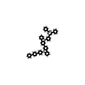 c1ccc(-c2ccc(-c3ccc(-n4c5ccccc5c5ccc(-c6ccc7c8ccccc8n(-c8cccc(-c9cc(-c%10ccccc%10)nc(-c%10ccccc%10)n9)c8)c7c6)cc54)cc3)cc2)cc1